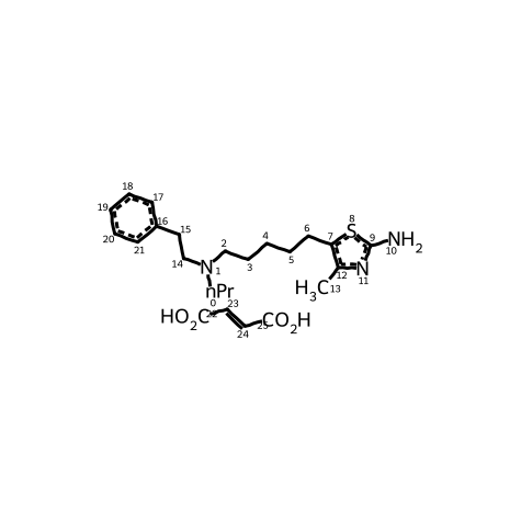 CCCN(CCCCCc1sc(N)nc1C)CCc1ccccc1.O=C(O)C=CC(=O)O